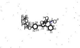 CO/C=C(/C(=O)OC)c1ccccc1-c1cc(-c2ccc(OC(F)(F)C(F)OC(F)(F)F)cc2)on1